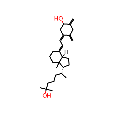 C=C1CC(=C)[C@H](O)C/C1=C/C=C1\CCCC2(C)[C@@H](C(C)CCCC(C)(C)O)CC[C@@H]12